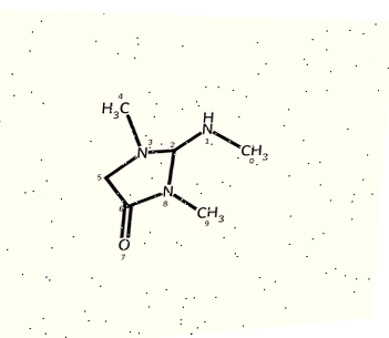 CNC1N(C)CC(=O)N1C